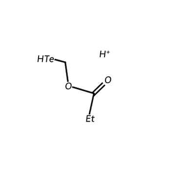 CCC(=O)OC[TeH].[H+]